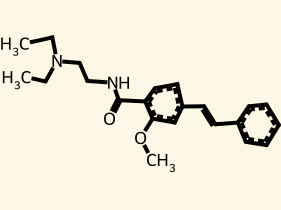 CCN(CC)CCNC(=O)c1ccc(/C=C/c2ccccc2)cc1OC